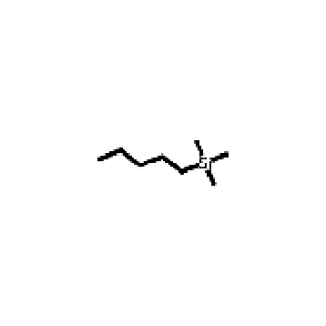 C[CH]CCC[Si](C)(C)C